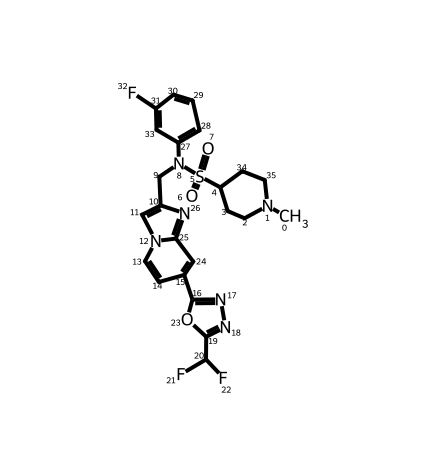 CN1CCC(S(=O)(=O)N(Cc2cn3ccc(-c4nnc(C(F)F)o4)cc3n2)c2cccc(F)c2)CC1